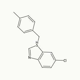 Cc1ccc(C[SH]2C=Nc3ccc(Cl)cc32)cc1